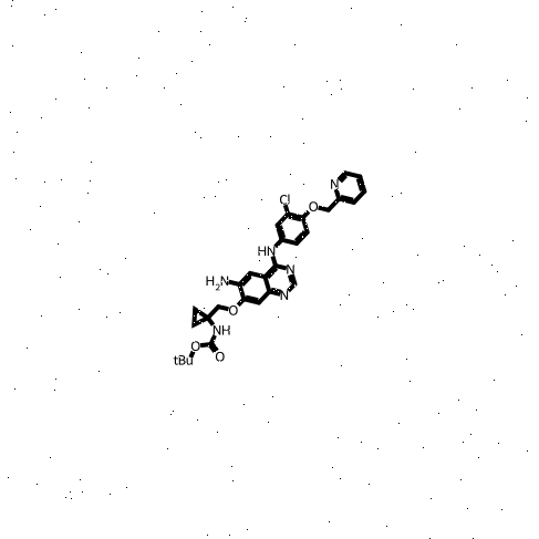 CC(C)(C)OC(=O)NC1(COc2cc3ncnc(Nc4ccc(OCc5ccccn5)c(Cl)c4)c3cc2N)CC1